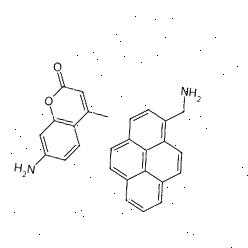 Cc1cc(=O)oc2cc(N)ccc12.NCc1ccc2ccc3cccc4ccc1c2c34